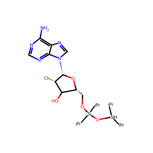 CC(C)[SiH](O[Si](OC[C@H]1O[C@@H](n2cnc3c(N)ncnc32)[C@@H](Cl)C1O)(C(C)C)C(C)C)C(C)C